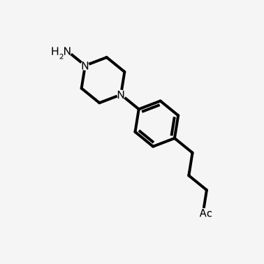 CC(=O)CCCc1ccc(N2CCN(N)CC2)cc1